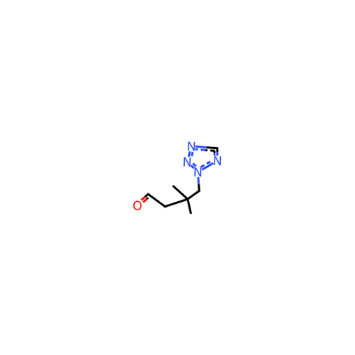 CC(C)(CC=O)Cn1ncnn1